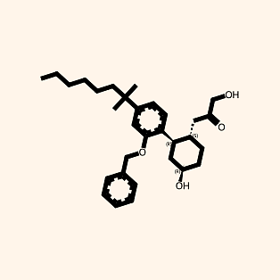 CCCCCCC(C)(C)c1ccc([C@@H]2C[C@H](O)CC[C@H]2CC(=O)CO)c(OCc2ccccc2)c1